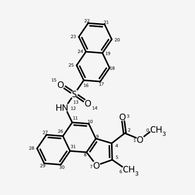 COC(=O)c1c(C)oc2c1cc(NS(=O)(=O)c1ccc3ccccc3c1)c1ccccc12